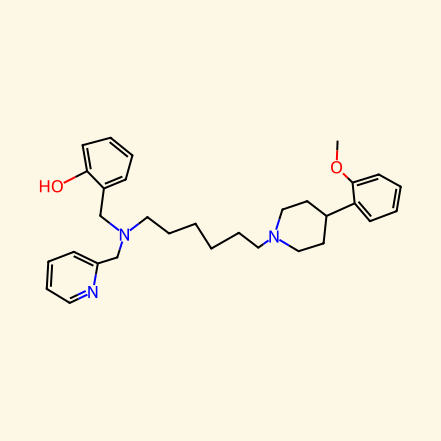 COc1ccccc1C1CCN(CCCCCCN(Cc2ccccn2)Cc2ccccc2O)CC1